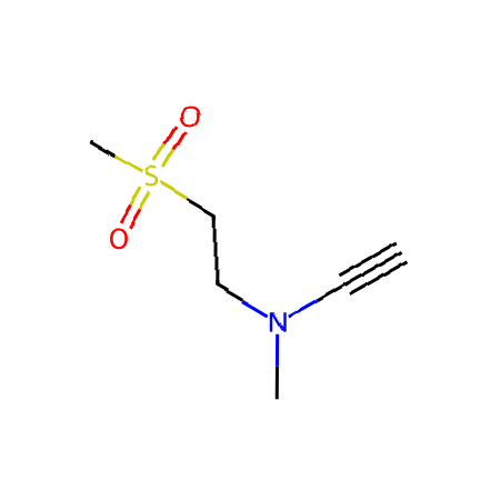 C#CN(C)CCS(C)(=O)=O